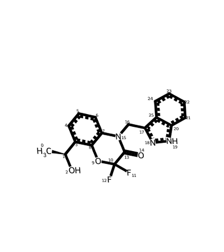 C[C@H](O)c1cccc2c1OC(F)(F)C(=O)N2Cc1n[nH]c2ccccc12